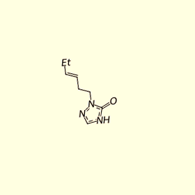 CC/C=C/CCn1nc[nH]c1=O